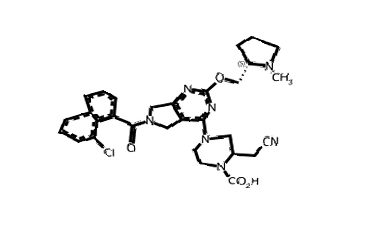 CN1CCC[C@H]1COc1nc2c(c(N3CCN(C(=O)O)C(CC#N)C3)n1)CN(C(=O)c1cccc3cccc(Cl)c13)C2